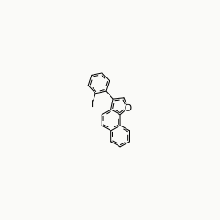 Ic1ccccc1-c1coc2c1ccc1ccccc12